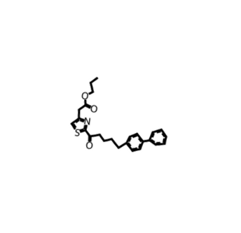 CCCOC(=O)Cc1csc(C(=O)CCCCc2ccc(-c3ccccc3)cc2)n1